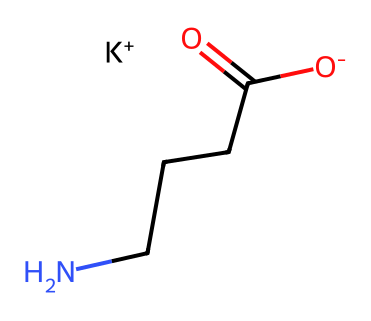 NCCCC(=O)[O-].[K+]